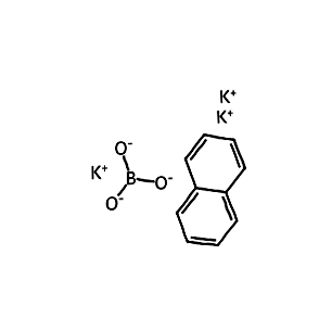 [K+].[K+].[K+].[O-]B([O-])[O-].c1ccc2ccccc2c1